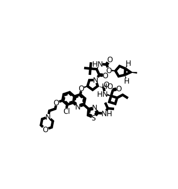 CCC1CC[C@]1(NC(=O)[C@@H]1C[C@@H](Oc2cc(-c3csc(NC(C)C)n3)nc3c(Cl)c(OCCN4CCOCC4)ccc23)CN1C(=O)[C@@H](NC(=O)O[C@@H]1C[C@@H]2[C@H](C)[C@@H]2C1)C(C)(C)C)C(=O)O